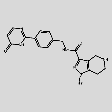 CC(C)n1nc(C(=O)NCc2ccc(-c3nccc(=O)[nH]3)cc2)c2c1CCNC2